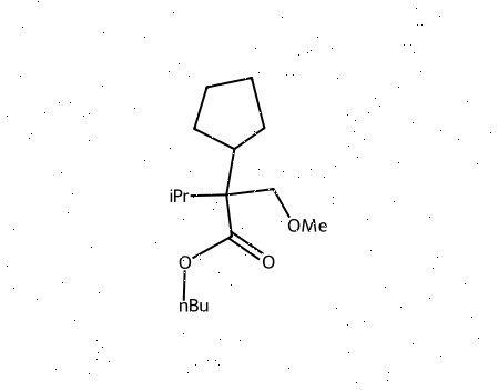 CCCCOC(=O)C(COC)(C(C)C)C1CCCC1